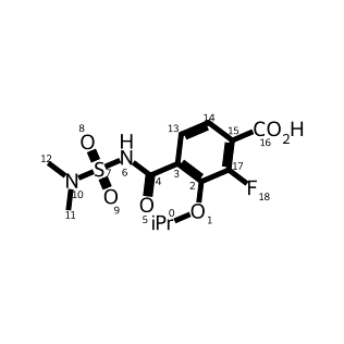 CC(C)Oc1c(C(=O)NS(=O)(=O)N(C)C)ccc(C(=O)O)c1F